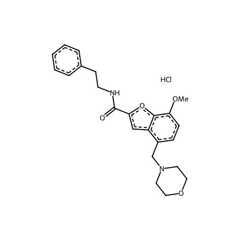 COc1ccc(CN2CCOCC2)c2cc(C(=O)NCCc3ccccc3)oc12.Cl